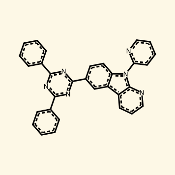 c1ccc(-c2nc(-c3ccccc3)nc(-c3ccc4c(c3)c3cccnc3n4-c3ccccn3)n2)cc1